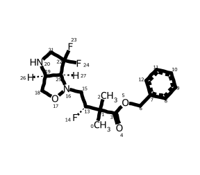 CC(C)(C(=O)OCc1ccccc1)[C@H](F)CN1OC[C@H]2NCC(F)(F)[C@H]21